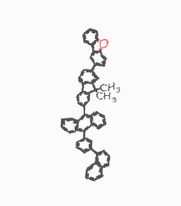 CC1(C)c2cc(-c3ccc4oc5ccccc5c4c3)ccc2-c2ccc(-c3c4ccccc4c(-c4cccc(-c5cccc6ccccc56)c4)c4ccccc34)cc21